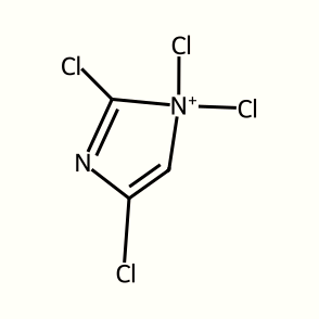 ClC1=C[N+](Cl)(Cl)C(Cl)=N1